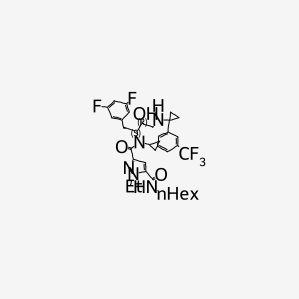 CCCCCCNC(=O)c1cc(C(=O)N(C2CC2)[C@@H](Cc2cc(F)cc(F)c2)[C@H](O)CNC2(c3cccc(C(F)(F)F)c3)CC2)nn1CC